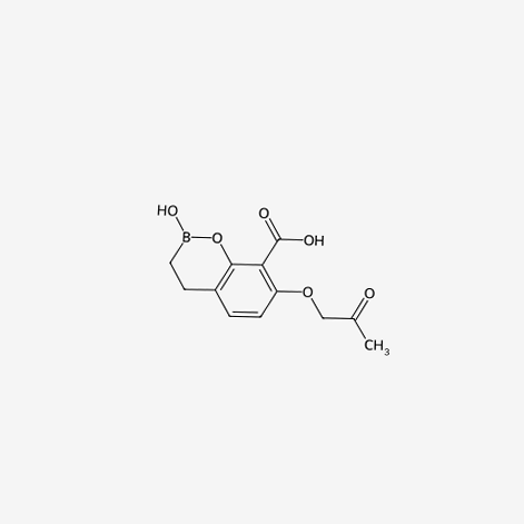 CC(=O)COc1ccc2c(c1C(=O)O)OB(O)CC2